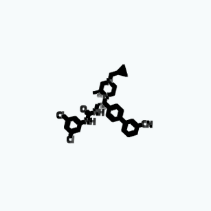 C[C@H]1CN(CC2CC2)CCN1[C@@H](CNC(=O)Nc1cc(Cl)cc(Cl)c1)c1ccc(-c2cccc(C#N)c2)cc1